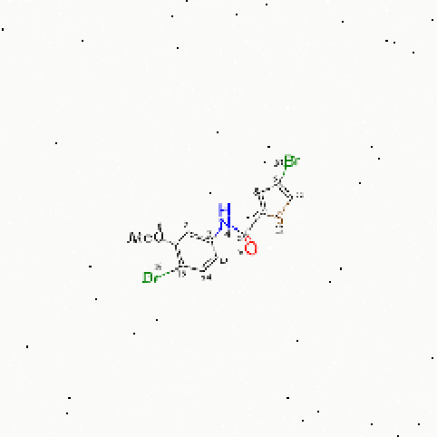 COc1cc(NC(=O)c2cc(Br)cs2)ccc1Br